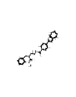 O=C(NCCC(Cc1ccccc1)C(=O)NO)c1ccc(-c2cc3ccccc3o2)cc1